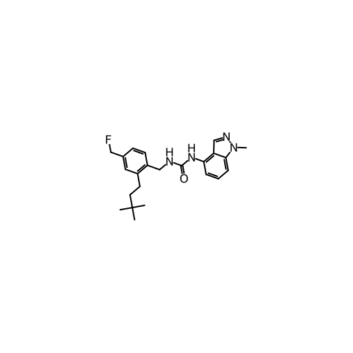 Cn1ncc2c(NC(=O)NCc3ccc(CF)cc3CCC(C)(C)C)cccc21